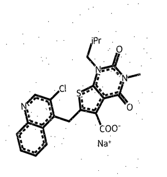 CC(C)Cn1c(=O)n(C)c(=O)c2c(C(=O)[O-])c(Cc3c(Cl)cnc4ccccc34)sc21.[Na+]